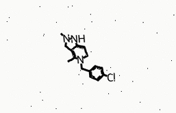 CC1=C2CN(C)NC2=CCN1Cc1ccc(Cl)cc1